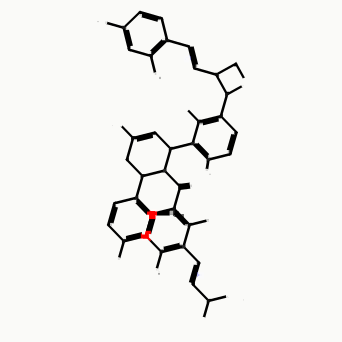 CC1=CC(c2c(O)ccc(C3OCC3/C=C/c3ccc(O)cc3O)c2O)C(C(=O)c2ccc(O)c(/C=C/C(C)C)c2O)C(c2ccc(O)cc2O)C1